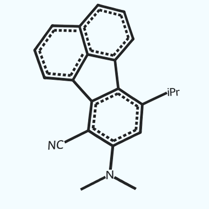 CC(C)c1cc(N(C)C)c(C#N)c2c1-c1cccc3cccc-2c13